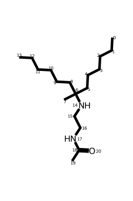 CCCCCCC(C)(CCCCCC)NCCNC(C)=O